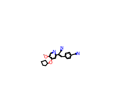 COc1cnc(C(C#N)=Cc2ccc(C#N)cc2)cc1OC1CCCC1